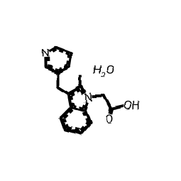 Cc1c(Cc2cccnc2)c2ccccc2n1CC(=O)O.O